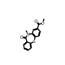 COC(=O)c1ccc2c(c1)N(C)C(=O)c1ccccc1S2